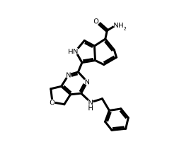 NC(=O)c1cccc2c(-c3nc4c(c(NCc5ccccc5)n3)COC4)[nH]cc12